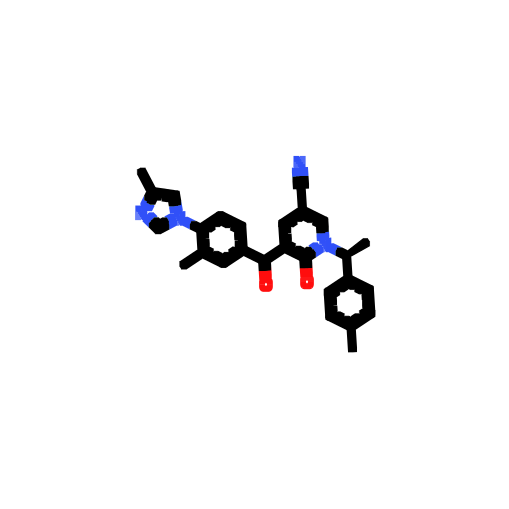 Cc1ccc([C@H](C)n2cc(C#N)cc(C(=O)c3ccc(-n4cnc(C)c4)c(C)c3)c2=O)cc1